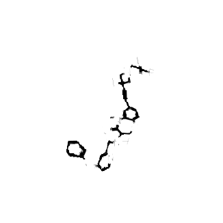 CN1C(=O)C(NC(=O)c2cc(Oc3ccccc3)ccn2)COc2ccc(C#CC3(F)CN(CC(F)(F)F)C3)cc21